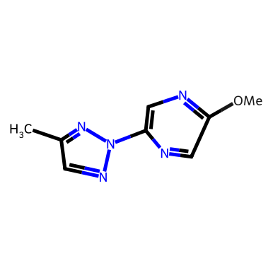 COc1cnc(-n2ncc(C)n2)cn1